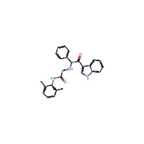 Cc1cccc(C)c1NC(=O)CNC(C(=O)c1c[nH]c2ccccc12)c1ccccc1